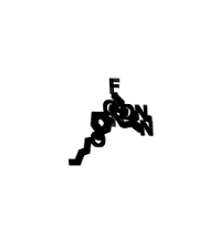 CCCCCOc1cccc(N(Cc2cncnc2)S(=O)(=O)CCF)c1